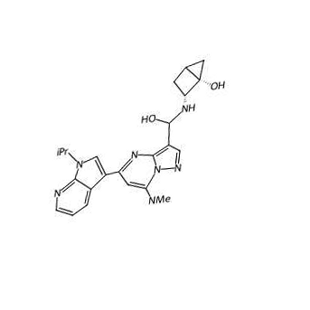 CNc1cc(-c2cn(C(C)C)c3ncccc23)nc2c(C(O)N[C@@H]3CC4C[C@]43O)cnn12